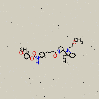 COCCCn1c(C2CCCN(C(=O)CCCc3ccc(NC(=O)Oc4ccc(OC)cc4)cc3)C2)c(C)c2ccccc21